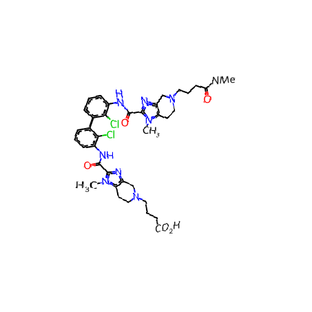 CNC(=O)CCCN1CCc2c(nc(C(=O)Nc3cccc(-c4cccc(NC(=O)c5nc6c(n5C)CCN(CCCC(=O)O)C6)c4Cl)c3Cl)n2C)C1